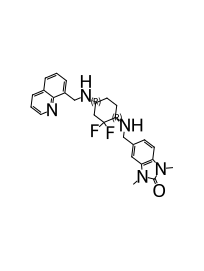 Cn1c(=O)n(C)c2cc(CN[C@@H]3CC[C@@H](NCc4cccc5cccnc45)CC3(F)F)ccc21